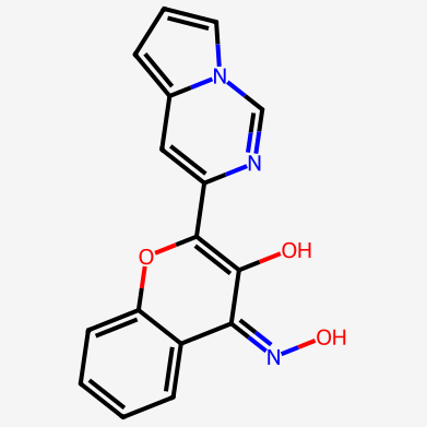 ON=c1c(O)c(-c2cc3cccn3cn2)oc2ccccc12